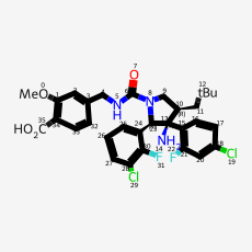 COc1cc(CNC(=O)N2C[C@@H](CC(C)(C)C)[C@](N)(c3ccc(Cl)cc3F)[C@H]2c2cccc(Cl)c2F)ccc1C(=O)O